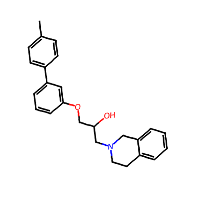 Cc1ccc(-c2cccc(OCC(O)CN3CCc4ccccc4C3)c2)cc1